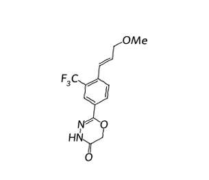 COC/C=C/c1ccc(C2=NNC(=O)CO2)cc1C(F)(F)F